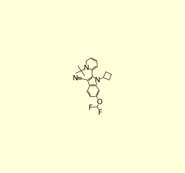 CC(C)(C)N1CC=CC=C1c1c(C#N)c2ccc(OC(F)F)cc2n1C1CCC1